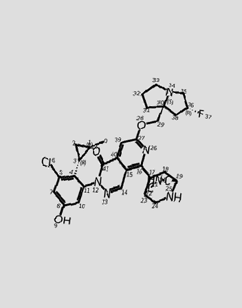 C[C@@H]1C[C@H]1c1c(Cl)cc(O)cc1-n1ncc2c(C3CC4CNCC3CN4)nc(OC[C@@]34CCCN3C[C@H](F)C4)cc2c1=O